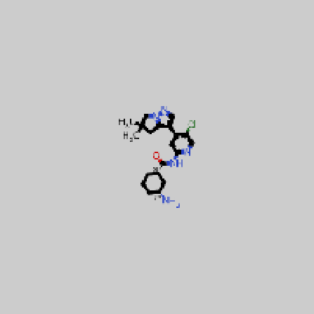 CC1(C)Cc2c(-c3cc(NC(=O)[C@H]4CCC[C@@H](N)C4)ncc3Cl)cnn2C1